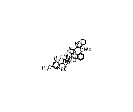 CCOC(c1ncc(C)cn1)C(C)S(=O)(=O)Nc1nnc(-c2cc3n(n2)CCC3)n1-c1c(OC)cccc1OC